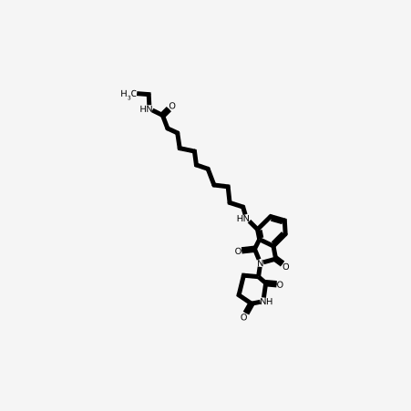 CCNC(=O)CCCCCCCCCCNc1cccc2c1C(=O)N(C1CCC(=O)NC1=O)C2=O